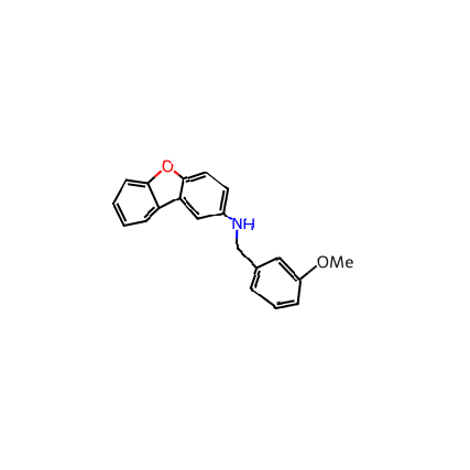 COc1cccc(CNc2ccc3oc4ccccc4c3c2)c1